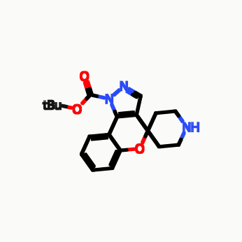 CC(C)(C)OC(=O)n1ncc2c1-c1ccccc1OC21CCNCC1